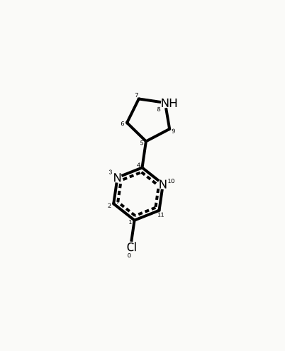 Clc1cnc(C2CCNC2)nc1